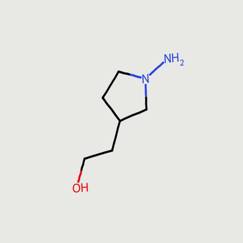 NN1CCC(CCO)C1